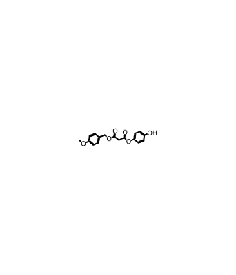 COc1ccc(COC(=O)CC(=O)Oc2ccc(O)cc2)cc1